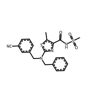 Cc1sc(N(Cc2ccccc2)Cc2cccc(C#N)c2)nc1C(=O)NS(C)(=O)=O